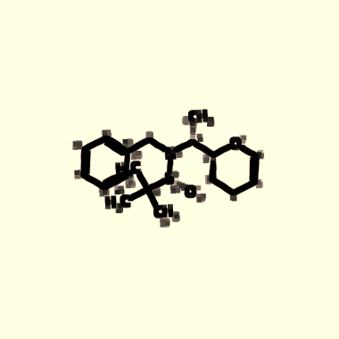 C[C@H]([C@@H]1CCC=CO1)N(Cc1ccccc1)[S@+]([O-])C(C)(C)C